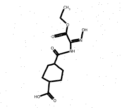 CCOC(=O)/C(=N\O)NC(=O)C1CCC(C(=O)O)CC1